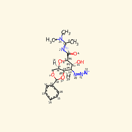 C/C(=N\C(=O)[C@@H]1O[C@@H]2COC(c3ccccc3)O[C@@H]2[C@H](N=[N+]=[N-])[C@H]1O)N(C)C